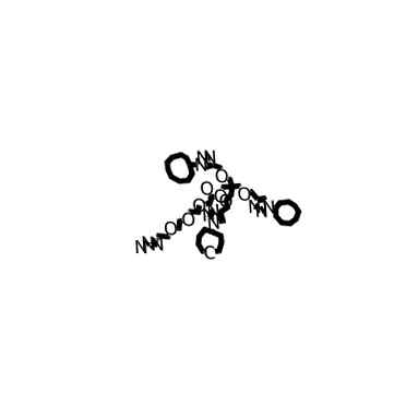 [N-]=[N+]=NCCOCCOCCOCC(=O)OCC(COCc1cn(C2CCCCCCCCC2)nn1)(COCc1cn(C2CCCCCCCC2)nn1)COCc1cn(C2CCCCCCCC2)nn1